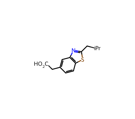 CC(C)Cc1nc2cc(CC(=O)O)ccc2s1